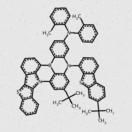 Cc1ccccc1N(c1ccc2c(c1)N(c1cccc3c1sc1cc(C(C)(C)C)ccc13)c1cc(C(C)(C)C)cc3c1B2c1cccc2c4sc5ccccc5c4n-3c12)c1ccccc1C